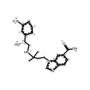 CC(C)(CCn1cnc2ccc(C(=O)O)cc21)NC[C@H](O)c1cccc(N)c1